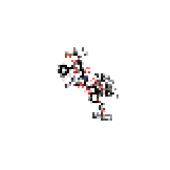 C=C(Br)C[C@H](CCC(=O)/C=C/C(O[Si](C)(C)C(C)(C)C)[C@@H]1OC2CC[C@H](CCO[Si](CC)(CC)CC)O[C@@H]2C(O[Si](C)(C)C(C)(C)C)C1O[Si](C)(C)C(C)(C)C)OC(=O)c1ccccc1